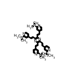 CN(C)c1cc(C=Cc2nc(C=Cc3ccnc(N(C)C)c3)c(C=Cc3ccnc(N(C)C)c3)nc2C=Cc2ccnc(N(C)C)c2)ccn1